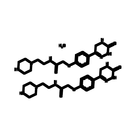 O.O=C(COc1ccc(C2=NNC(=O)NC2)cc1)NCCN1CCNCC1.O=C(COc1ccc(C2=NNC(=O)NC2)cc1)NCCN1CCNCC1